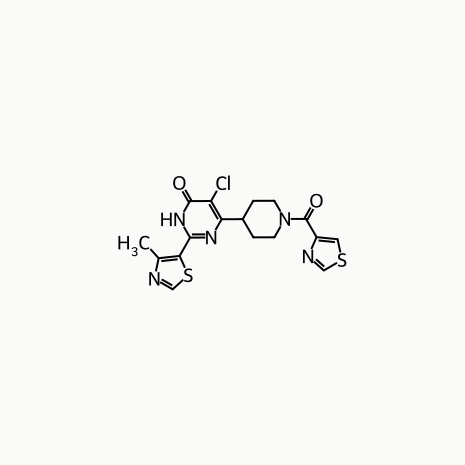 Cc1ncsc1-c1nc(C2CCN(C(=O)c3cscn3)CC2)c(Cl)c(=O)[nH]1